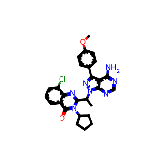 COc1ccc(-c2nn(C(C)c3nc4c(Cl)cccc4c(=O)n3C3CCCC3)c3ncnc(N)c23)cc1